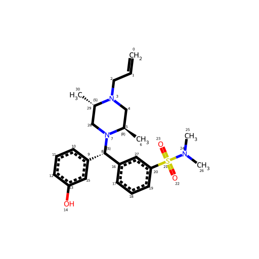 C=CCN1C[C@@H](C)N([C@@H](c2cccc(O)c2)c2cccc(S(=O)(=O)N(C)C)c2)C[C@@H]1C